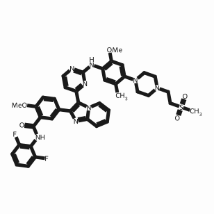 COc1cc(N2CCN(CCS(C)(=O)=O)CC2)c(C)cc1Nc1nccc(-c2c(-c3ccc(OC)c(C(=O)Nc4c(F)cccc4F)c3)nc3ccccn23)n1